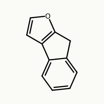 c1ccc2c(c1)Cc1occc1-2